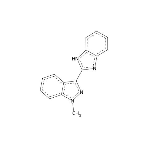 Cn1nc(-c2nc3ccccc3[nH]2)c2ccccc21